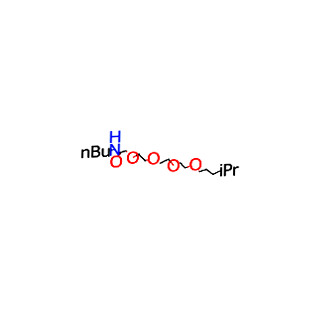 CCCCNC(=O)COCCOCCOCCOCCCC(C)C